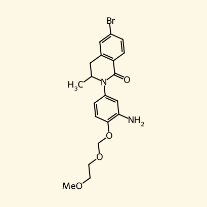 COCCOCOc1ccc(N2C(=O)c3ccc(Br)cc3CC2C)cc1N